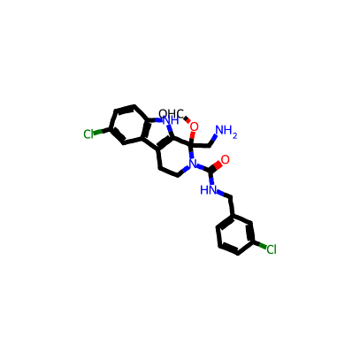 NCC1(OC=O)c2[nH]c3ccc(Cl)cc3c2CCN1C(=O)NCc1cccc(Cl)c1